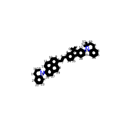 CC1(C)c2cc(/C=C/c3ccc4ccc5c(N6CCCc7ccccc76)ccc6ccc3c4c65)ccc2-c2ccc(N3c4ccccc4CCC3(C)C)cc21